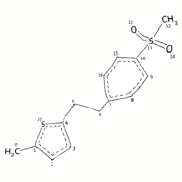 Cc1ccc(CCc2ccc(S(C)(=O)=O)cc2)s1